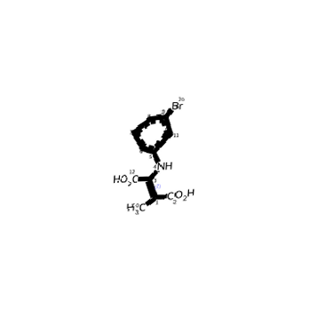 C/C(C(=O)O)=C(/Nc1cccc(Br)c1)C(=O)O